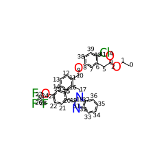 CCOC(=O)Cc1cc(OCc2ccccc2Cn2c(-c3ccc(OC(F)(F)F)cc3)nc3ccccc32)ccc1Cl